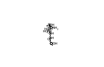 CCOP(=O)(O)C1=C[C@H](N)[C@@H](C)C([C@H](OC(=O)NCCCNC(=O)/C=C/c2ccc(C)c(O)c2)[C@H](O)CO)O1